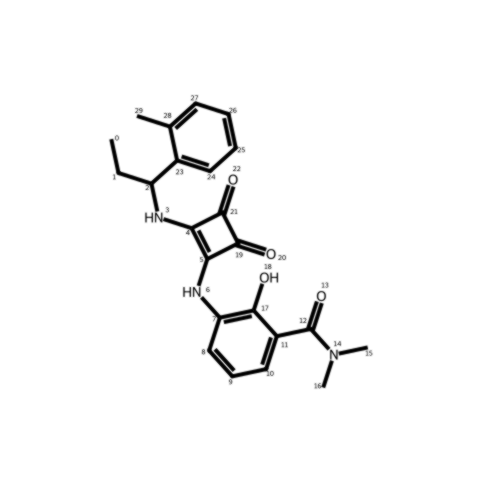 CCC(Nc1c(Nc2cccc(C(=O)N(C)C)c2O)c(=O)c1=O)c1ccccc1C